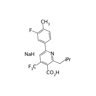 Cc1ccc(-c2cc(C(F)(F)F)c(C(=O)O)c(CC(C)C)n2)cc1F.[NaH]